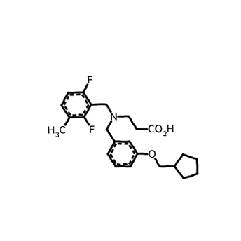 Cc1ccc(F)c(CN(CCC(=O)O)Cc2cccc(OCC3CCCC3)c2)c1F